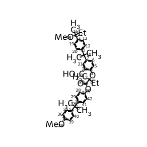 CCC(C)(Oc1ccc(C(C)(C)c2ccc(C(C)(CC)OC)cc2)cc1C(=O)O)C(=O)Oc1ccc(C(C)(C)c2ccc(OC)cc2)cc1